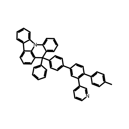 Cc1ccc(-c2ccc(-c3ccc(C4(c5ccccc5)c5ccccc5-n5c6ccccc6c6cccc4c65)cc3)cc2-c2cccnc2)cc1